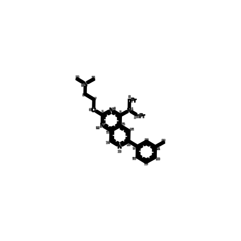 CCCN(CCC)c1nc(OCCN(C)C)nc2cnc(-c3cccc(C)c3)cc12